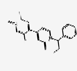 C=C/C=C(\C=C/N(C)C(CC)c1ccccc1)C(=N/CC)/C(F)=C\N=C